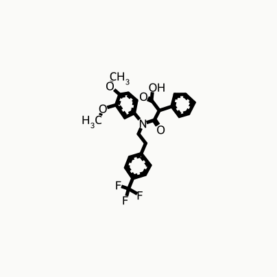 COc1ccc(N(CCc2ccc(C(F)(F)F)cc2)C(=O)C(C(=O)O)c2ccccc2)cc1OC